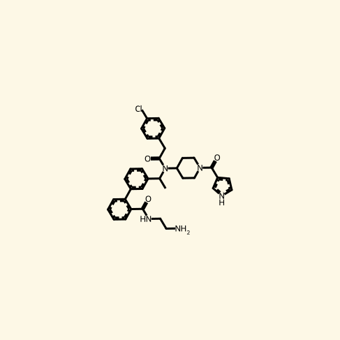 CC(c1cccc(-c2ccccc2C(=O)NCCN)c1)N(C(=O)Cc1ccc(Cl)cc1)C1CCN(C(=O)c2cc[nH]c2)CC1